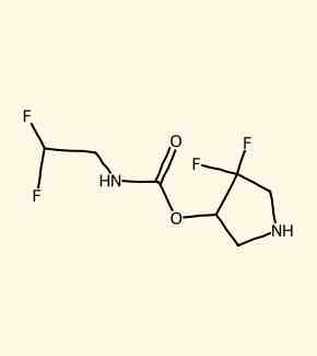 O=C(NCC(F)F)OC1CNCC1(F)F